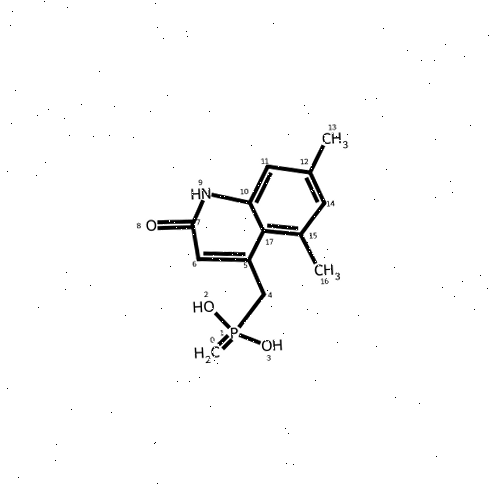 C=P(O)(O)Cc1cc(=O)[nH]c2cc(C)cc(C)c12